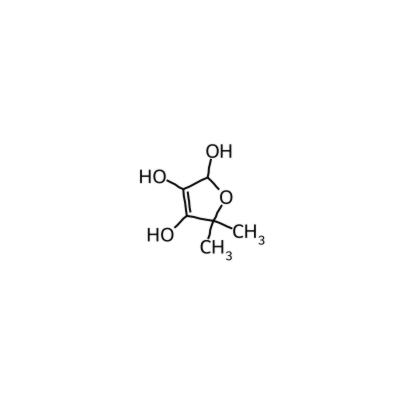 CC1(C)OC(O)C(O)=C1O